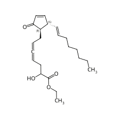 CCCCCCC=C[C@H]1C=CC(=O)[C@@H]1CC=C=CCC(O)C(=O)OCC